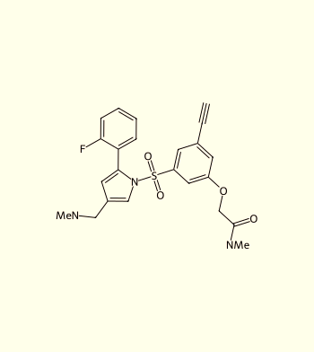 C#Cc1cc(OCC(=O)NC)cc(S(=O)(=O)n2cc(CNC)cc2-c2ccccc2F)c1